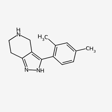 Cc1ccc(-c2[nH]nc3c2CNCC3)c(C)c1